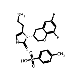 Cc1ccc(S(=O)(=O)O)cc1.NCCC1=C[N]C(=S)N1[C@H]1COc2c(F)cc(F)cc2C1